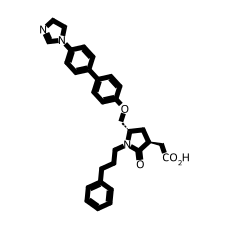 O=C(O)C[C@@H]1C[C@@H](COc2ccc(-c3ccc(N4C=NCC4)cc3)cc2)N(CCCc2ccccc2)C1=O